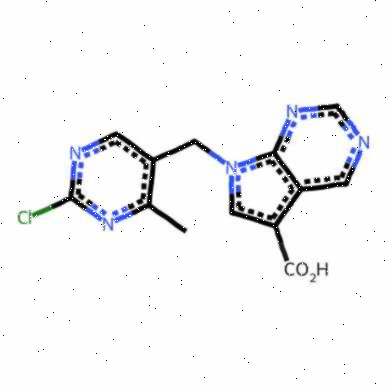 Cc1nc(Cl)ncc1Cn1cc(C(=O)O)c2cncnc21